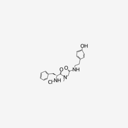 CN(CC(=O)NCCc1ccc(O)cc1)C(=O)[C@H](Cc1ccccc1)NCl